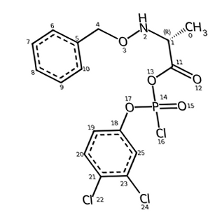 C[C@@H](NOCc1ccccc1)C(=O)OP(=O)(Cl)Oc1ccc(Cl)c(Cl)c1